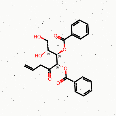 C=CCC(=O)[C@@H](OC(=O)c1ccccc1)[C@H](OC(=O)c1ccccc1)[C@H](O)CO